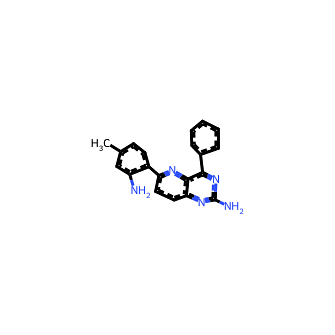 Cc1ccc(-c2ccc3nc(N)nc(-c4ccccc4)c3n2)c(N)c1